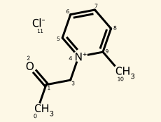 CC(=O)C[n+]1ccccc1C.[Cl-]